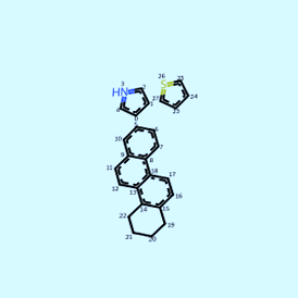 c1cc[nH]c1.c1ccc2c(c1)ccc1c3c(ccc12)CCCC3.c1ccsc1